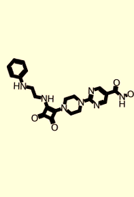 O=C(NO)c1cnc(N2CCN(c3c(NCCNc4ccccc4)c(=O)c3=O)CC2)nc1